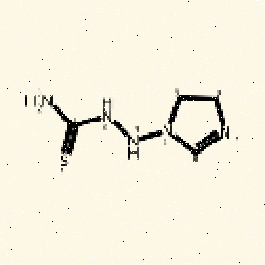 NC(=S)NNN1C=NCC1